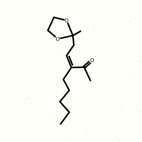 CCCCC/C(=C/CC1(C)OCCO1)C(C)=O